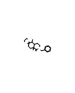 CC1C2CCN(Cc3ccccc3)C(=O)C2(C)CCC12OCCO2